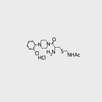 CC(=O)NCSCC(N)C(=O)N1CCN(c2ccccc2Cl)CC1.Cl